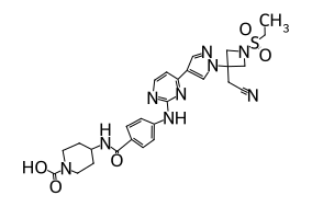 CCS(=O)(=O)N1CC(CC#N)(n2cc(-c3ccnc(Nc4ccc(C(=O)NC5CCN(C(=O)O)CC5)cc4)n3)cn2)C1